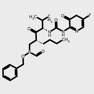 CCCC[C@H](CN(C=O)OCc1ccccc1)C(=O)[C@@H](NC(=O)NC1=NC=C(F)CC1=O)C(C)C